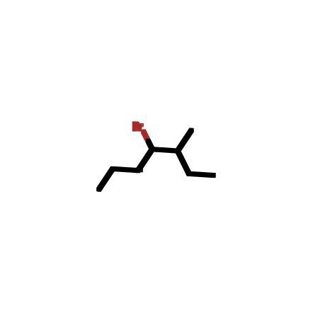 CC[CH]C(Br)C(C)CC